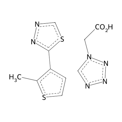 Cc1sccc1-c1nncs1.O=C(O)Cn1cnnn1